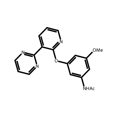 COc1cc(NC(C)=O)cc(Oc2ncccc2-c2ncccn2)c1